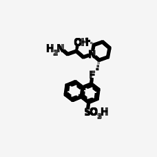 C[C@@H]1CCC[C@H](C)N1C[C@H](O)CN.O=S(=O)(O)c1ccc(F)c2ccccc12